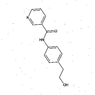 O=C(Nc1ccc(CCO)cc1)c1cccnc1